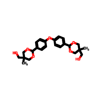 CC1(CO)COC(c2ccc(Oc3ccc(C4OCC(C)(CO)CO4)cc3)cc2)OC1